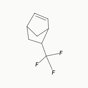 FC(F)(F)C1CC2C=CC1C2